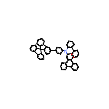 c1ccc(-c2ccccc2N(c2ccc(-c3ccc4c(c3)-c3ccccc3C43c4ccccc4-c4ccccc43)cc2)c2ccc3c4ccccc4c4ccccc4c3c2)cc1